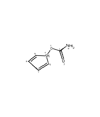 NC(=O)O[SH]1C=CC=C1